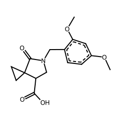 COc1ccc(CN2CC(C(=O)O)C3(CC3)C2=O)c(OC)c1